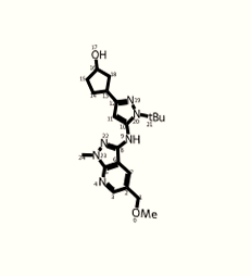 COCc1cnc2c(c1)c(Nc1cc(C3CCC(O)C3)nn1C(C)(C)C)nn2C